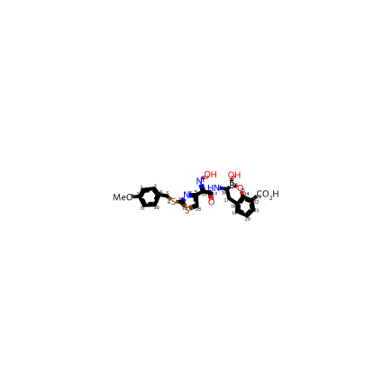 COc1ccc(CSc2nc(C(=NO)C(=O)NC3Cc4cccc(C(=O)O)c4OB3O)cs2)cc1